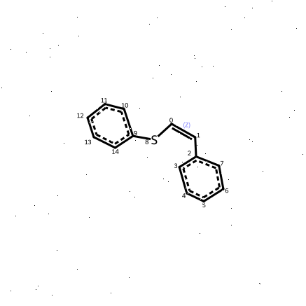 C(=C/c1ccccc1)/Sc1ccccc1